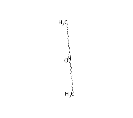 CCCCCCCCCCCCCCCCCCN([C]=O)CCCCCCCCCCCCCCCCCC